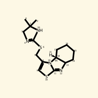 CC1(C)CN=C(SCC2=CSC3=NC4CCCC[C@H]4N23)N1